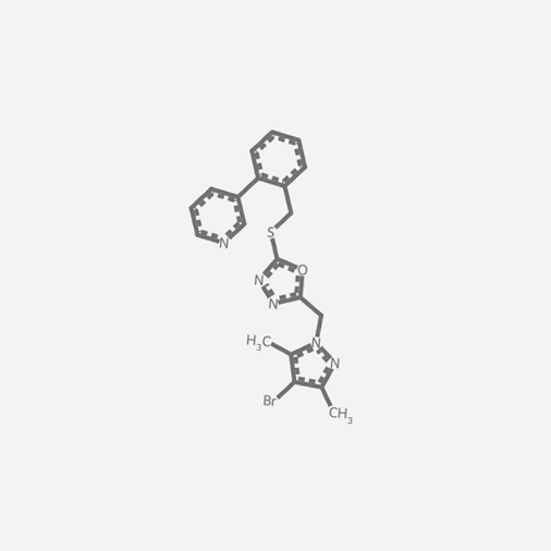 Cc1nn(Cc2nnc(SCc3ccccc3-c3cccnc3)o2)c(C)c1Br